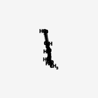 CCCNC(=O)CC[C@H](CC(=O)COCCOCCNC(=O)COCCOCCNC(=O)CCCCCCCCCCCCC(=O)O)C(=O)O